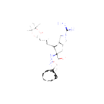 CC1(C)OB(CCCC2C3CN(C(=N)N)CC3CC2(N=[N+]=[N-])C(=O)OCc2ccccc2)OC1(C)C